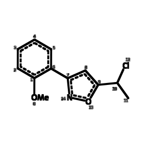 COc1ccccc1-c1cc(C(C)Cl)on1